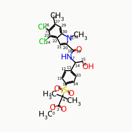 COC(=O)C(C)(C)S(=O)(=O)c1ccc(C(CO)NC(=O)c2cc3c(Cl)c(Cl)c(C)cc3n2C)cc1